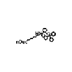 CCCCCCCCCCCCCCCCCCNC(=O)C1CC=CCC1COC(c1ccccc1)(c1ccccc1)c1ccccc1